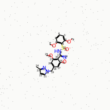 COc1cccc(OC)c1[S+]([O-])Nc1noc2cc(Cn3ccc(C)n3)cc(OC)c12